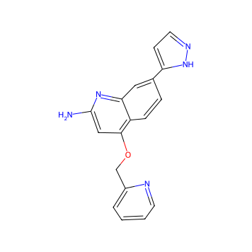 Nc1cc(OCc2ccccn2)c2ccc(-c3ccn[nH]3)cc2n1